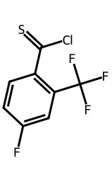 Fc1ccc(C(=S)Cl)c(C(F)(F)F)c1